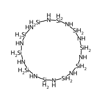 N1[SiH2]N[SiH2]N[SiH2]N[SiH2]N[SiH2]N[SiH2]N[SiH2]N[SiH2]N[SiH2]N[SiH2]1